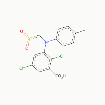 Cc1ccc(N(C=S(=O)=O)c2cc(Cl)cc(C(=O)O)c2Cl)cc1